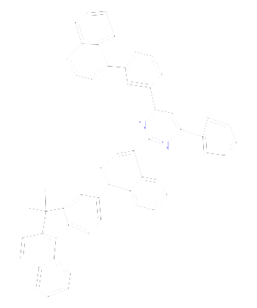 CC1(C)c2cc(-c3ccc(-c4nc(-c5ccccc5)cc(-c5cccc(-c6cccc7ccccc67)c5)n4)c4ccccc34)ccc2-c2c1ccc1ccccc21